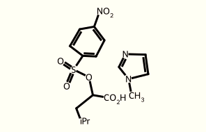 CC(C)CC(OS(=O)(=O)c1ccc([N+](=O)[O-])cc1)C(=O)O.Cn1ccnc1